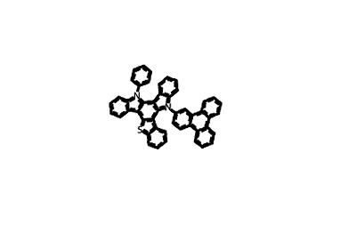 c1ccc(-n2c3ccccc3c3c4sc5ccccc5c4c4c(c5ccccc5n4-c4ccc5c6ccccc6c6ccccc6c5c4)c32)cc1